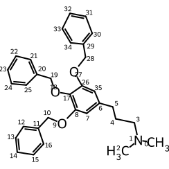 CN(C)CCCc1cc(OCc2ccccc2)c(OCc2ccccc2)c(OCc2ccccc2)c1